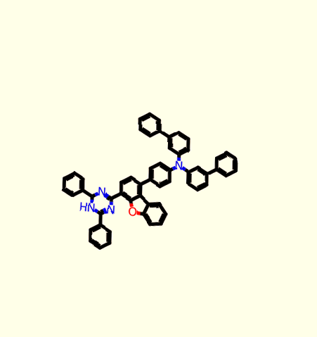 c1ccc(C2=NC(c3ccc(-c4ccc(N(c5cccc(-c6ccccc6)c5)c5cccc(-c6ccccc6)c5)cc4)c4c3oc3ccccc34)=NC(c3ccccc3)N2)cc1